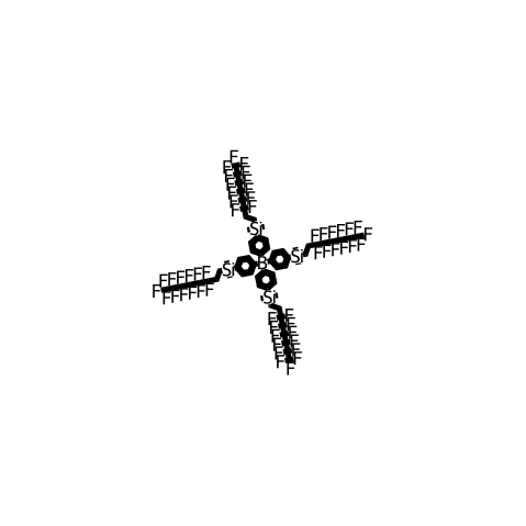 C[Si](C)(CCC(F)(F)C(F)(F)C(F)(F)C(F)(F)C(F)(F)C(F)(F)F)c1ccc([B-](c2ccc([Si](C)(C)CCC(F)(F)C(F)(F)C(F)(F)C(F)(F)C(F)(F)C(F)(F)F)cc2)(c2ccc([Si](C)(C)CCC(F)(F)C(F)(F)C(F)(F)C(F)(F)C(F)(F)C(F)(F)F)cc2)c2ccc([Si](C)(C)CCC(F)(F)C(F)(F)C(F)(F)C(F)(F)C(F)(F)C(F)(F)F)cc2)cc1